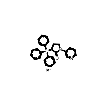 O=C1C([P+](c2ccccc2)(c2ccccc2)c2ccccc2)CCN1c1cccnc1.[Br-]